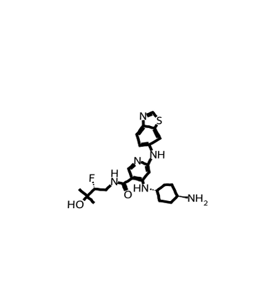 CC(C)(O)[C@H](F)CNC(=O)c1cnc(Nc2ccc3ncsc3c2)cc1N[C@H]1CC[C@H](N)CC1